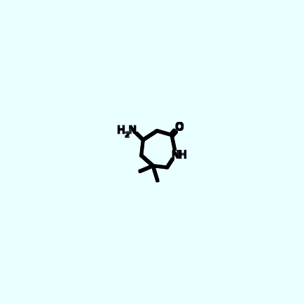 CC1(C)CNC(=O)CC(N)C1